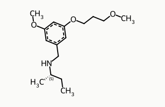 CC[C@H](C)NCc1cc(OC)cc(OCCCOC)c1